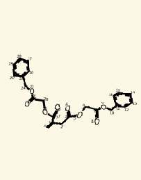 C=C(CC(=O)OCC(=O)OCc1ccccc1)C(=O)OCC(=O)OCc1ccccc1